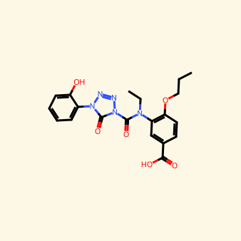 CCCOc1ccc(C(=O)O)cc1N(CC)C(=O)n1nnn(-c2ccccc2O)c1=O